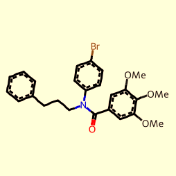 COc1cc(C(=O)N(CCCc2ccccc2)c2ccc(Br)cc2)cc(OC)c1OC